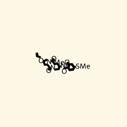 C=CCOC1CC2C(=O)N3CCC(NC(=O)c4ccc(SC)cc4OC)CC3C(=O)N2C1